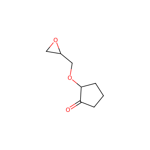 O=C1CCCC1OCC1CO1